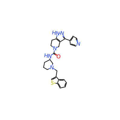 O=C(N[C@@H]1CCCN(Cc2csc3ccccc23)C1)N1CCc2[nH]nc(-c3ccncc3)c2C1